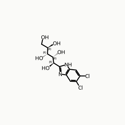 OC[C@@H](O)[C@@H](O)[C@H](O)[C@H](O)c1nc2cc(Cl)c(Cl)cc2[nH]1